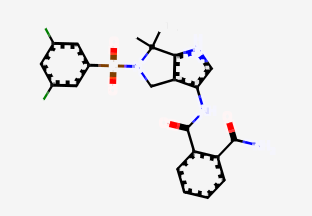 CC1(C)c2[nH]cc(NC(=O)c3ccccc3C(N)=O)c2CN1S(=O)(=O)c1cc(F)cc(F)c1